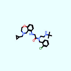 CC(C)(C)NCCN(Cc1ccccc1Cl)C(=O)CNc1cccc2c1CN(CC1CC1)CCO2